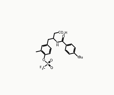 Cc1cc(CC(CC(=O)O)NC(=O)c2ccc(C(C)(C)C)cc2)ccc1OS(=O)(=O)C(F)(F)F